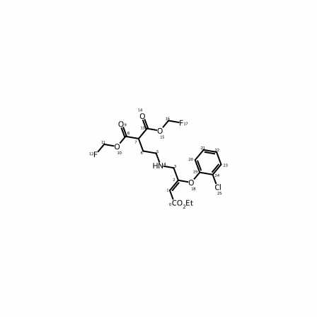 CCOC(=O)/C=C(/CNCCC(C(=O)OCF)C(=O)OCF)Oc1ccccc1Cl